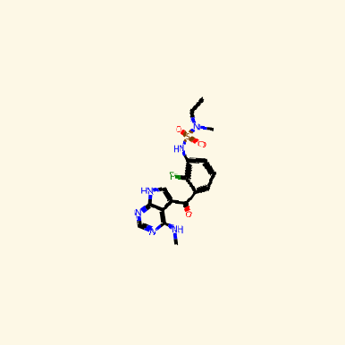 CCN(C)S(=O)(=O)Nc1cccc(C(=O)c2c[nH]c3ncnc(NC)c23)c1F